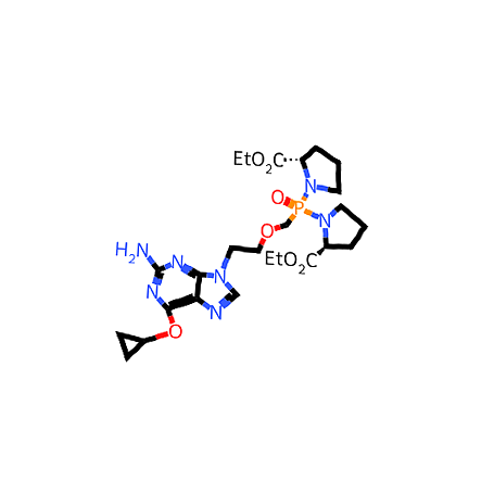 CCOC(=O)[C@@H]1CCCN1P(=O)(COCCn1cnc2c(OC3CC3)nc(N)nc21)N1CCC[C@H]1C(=O)OCC